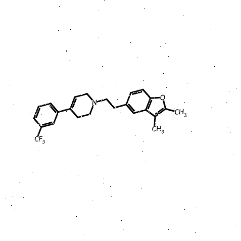 Cc1oc2ccc(CCN3CC=C(c4cccc(C(F)(F)F)c4)CC3)cc2c1C